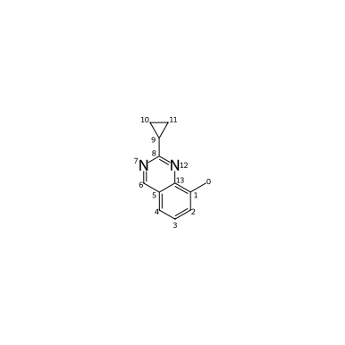 Cc1cccc2cnc(C3CC3)nc12